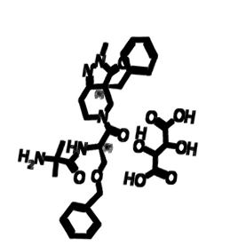 CN1N=C2CCN(C(=O)[C@@H](COCc3ccccc3)NC(=O)C(C)(C)N)C[C@@]2(Cc2ccccc2)C1=O.O=C(O)C(O)C(O)C(=O)O